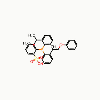 CCC(C)c1ccccc1P(c1ccccc1C(C)COc1ccccc1)c1ccccc1S(=O)(=O)O